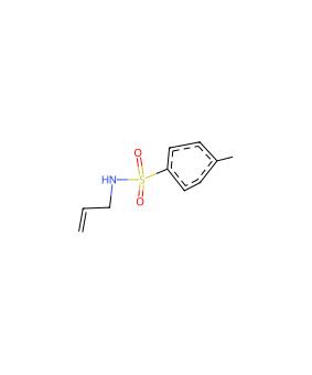 C=CCNS(=O)(=O)c1ccc(C)cc1